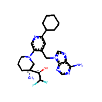 Nc1ncnc2c1ncn2Cc1cc(C2CCCCC2)ncc1N1CCC[C@](N)([C@@H](O)C(F)F)C1